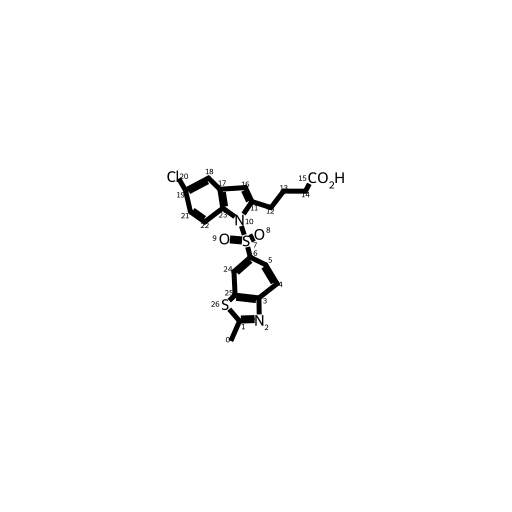 Cc1nc2ccc(S(=O)(=O)n3c(CCCC(=O)O)cc4cc(Cl)ccc43)cc2s1